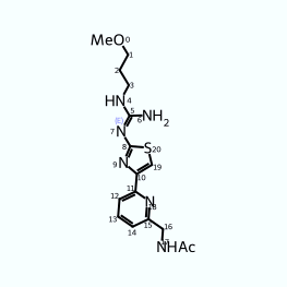 COCCCN/C(N)=N/c1nc(-c2cccc(CNC(C)=O)n2)cs1